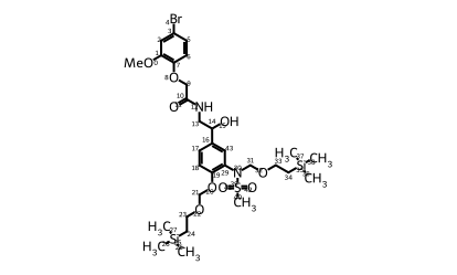 COc1cc(Br)ccc1OCC(=O)NCC(O)c1ccc(OCOCC[Si](C)(C)C)c(N(COCC[Si](C)(C)C)S(C)(=O)=O)c1